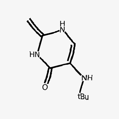 C=C1NC=C(NC(C)(C)C)C(=O)N1